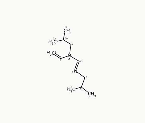 C=CN(/C=N/CC(C)C)CC(C)C